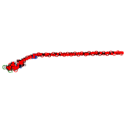 COCCOCCOCCOCCOCCOCCOCCOCCOCCOCCOCCOCCOCCOCCOCCOCCOCCOCCOCCOCCOCCOCCOCCOCCn1cc(COCCOCCOCc2cc(OC)c(-c3ccc(C[C@H](NC(=O)[C@@H]4CCCN4S(=O)(=O)c4cc(Cl)cc(Cl)c4)C(=O)O)cc3)c(OC)c2)nn1